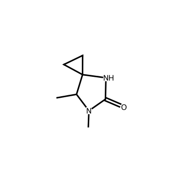 CC1N(C)C(=O)NC12CC2